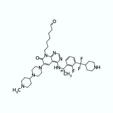 C[C@@H](Nc1ncnc2c1cc(N1CCN(C3CCN(C)CC3)CC1)c(=O)n2CCCCCCC=O)c1cccc(C(F)(F)C2CCNCC2)c1F